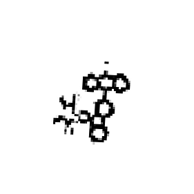 C=CC(=O)OCC1(COC(=O)C=C)c2ccccc2-c2ccc(-c3c4ccccc4c(F)c4ccccc34)cc21